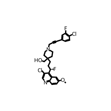 COc1ccc2ncc(Cl)c([C@H](F)CCC3(CO)CCN(CC#Cc4ccc(Cl)c(F)c4)CC3)c2c1